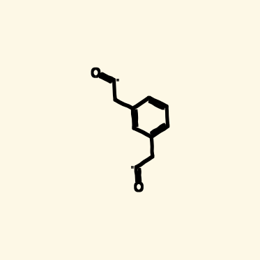 O=[C]Cc1cccc(C[C]=O)c1